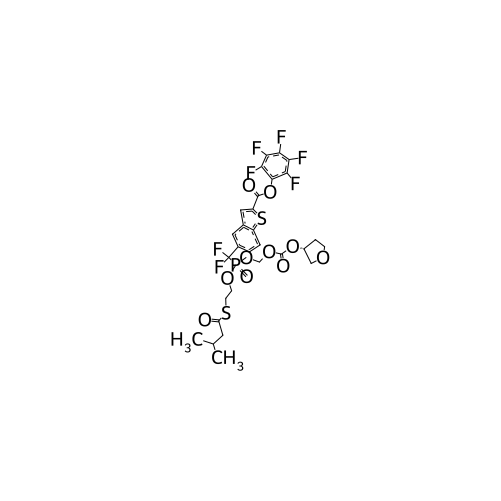 CC(C)CC(=O)SCCOP(=O)(OCOC(=O)O[C@@H]1CCOC1)C(F)(F)c1ccc2sc(C(=O)Oc3c(F)c(F)c(F)c(F)c3F)cc2c1